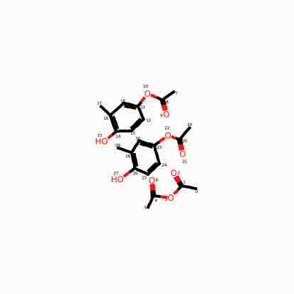 CC(=O)OC(C)=O.CC(=O)Oc1ccc(O)c(C)c1.CC(=O)Oc1ccc(O)c(C)c1